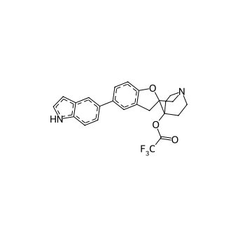 O=C(OC12CCN(CC1)CC21Cc2cc(-c3ccc4[nH]ccc4c3)ccc2O1)C(F)(F)F